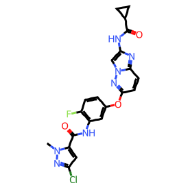 Cn1nc(Cl)cc1C(=O)Nc1cc(Oc2ccc3nc(NC(=O)C4CC4)cn3n2)ccc1F